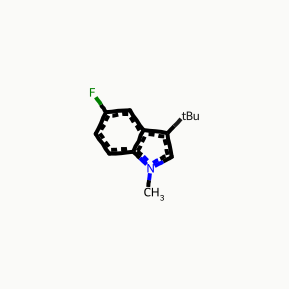 Cn1cc(C(C)(C)C)c2cc(F)ccc21